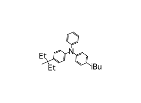 CCC(C)c1ccc(N(c2ccccc2)c2ccc(C(C)(CC)CC)cc2)cc1